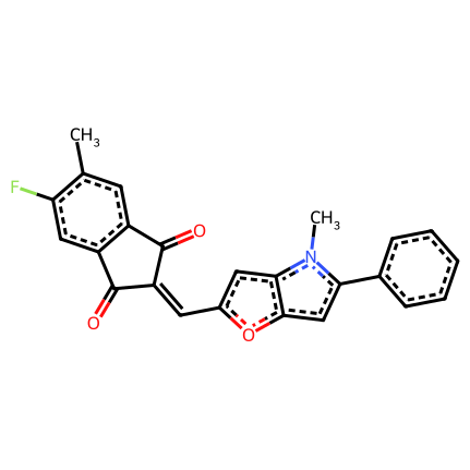 Cc1cc2c(cc1F)C(=O)/C(=C/c1cc3c(cc(-c4ccccc4)n3C)o1)C2=O